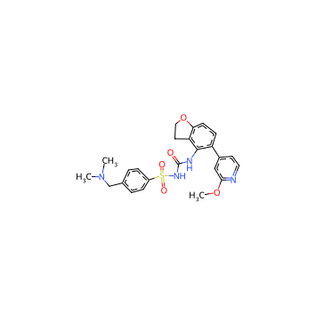 COc1cc(-c2ccc3c(c2NC(=O)NS(=O)(=O)c2ccc(CN(C)C)cc2)CCO3)ccn1